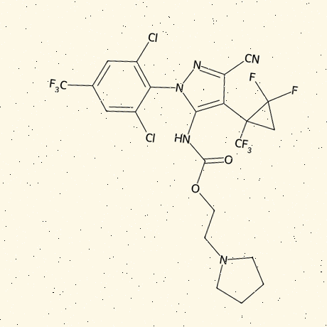 N#Cc1nn(-c2c(Cl)cc(C(F)(F)F)cc2Cl)c(NC(=O)OCCN2CCCC2)c1C1(C(F)(F)F)CC1(F)F